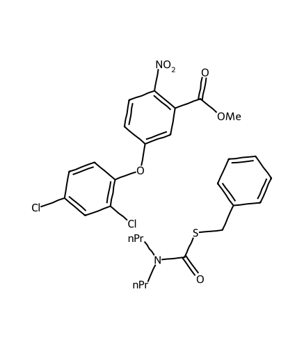 CCCN(CCC)C(=O)SCc1ccccc1.COC(=O)c1cc(Oc2ccc(Cl)cc2Cl)ccc1[N+](=O)[O-]